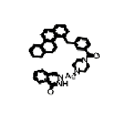 CC(=O)N1CCN(C(=O)c2cccc(Cc3cccc4ccc5c(c34)CCC3=C5C=CCC3)c2)CC1.O=c1[nH]ncc2ccccc12